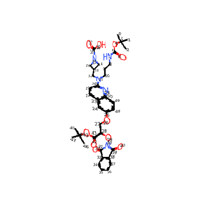 CC(C)(C)OC(=O)NCCCN(CC1CN(C(=O)O)C1)c1ccc2cc(OCC(ON3C(=O)c4ccccc4C3=O)C(=O)OC(C)(C)C)ccc2n1